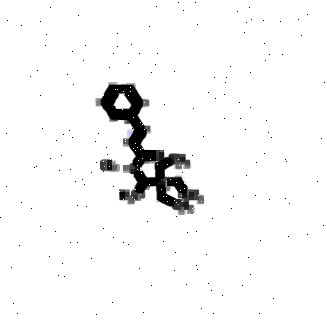 CC[N+](CC)(CC)C(C)OC(=O)/C=C/c1ccccc1.[Cl-]